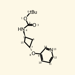 CC(C)(C)OC(=O)N[C@H]1C[C@H](Oc2cccnc2)C1